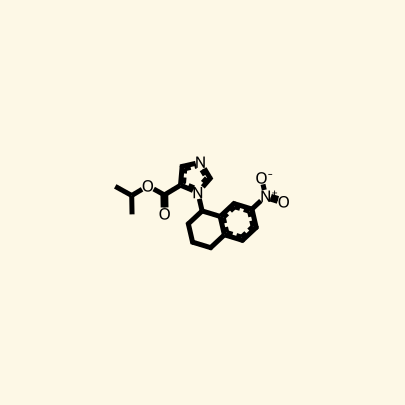 CC(C)OC(=O)c1cncn1C1CCCc2ccc([N+](=O)[O-])cc21